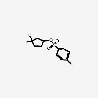 Cc1ccc(S(=O)(=O)OC2CCC(C)(O)C2)cc1